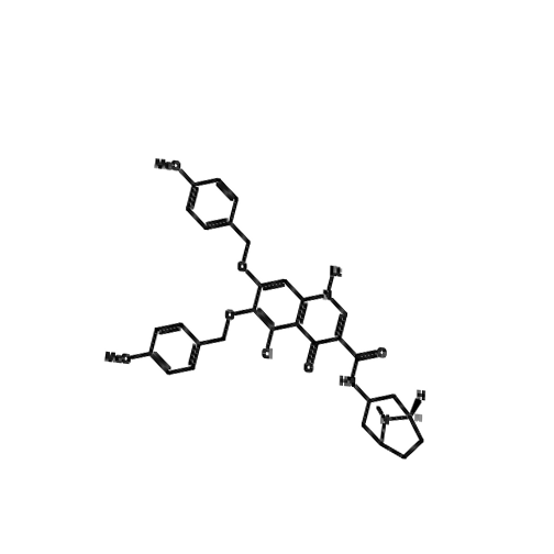 CCn1cc(C(=O)NC2CC3CC[C@@H](C2)N3C)c(=O)c2c(Cl)c(OCc3ccc(OC)cc3)c(OCc3ccc(OC)cc3)cc21